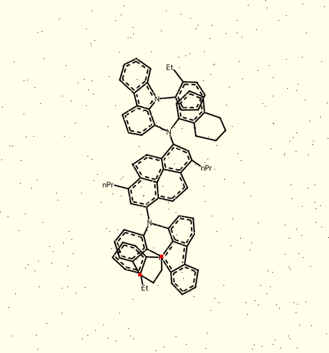 CCCc1cc(N(c2cccc3c2CCCC3)c2cccc3c4ccccc4n(-c4ccccc4CC)c23)c2ccc3c(CCC)cc(N(c4cccc5c4CCCC5)c4cccc5c6ccccc6n(-c6ccccc6CC)c45)c4ccc1c2c34